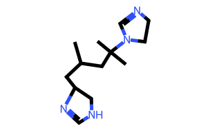 CC(CC1CNC=N1)CC(C)(C)N1C=NCC1